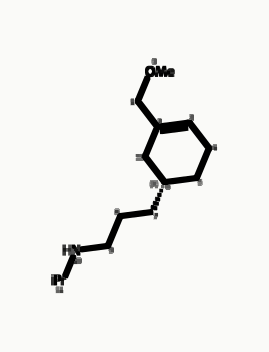 COCC1=CCC[C@H](CCCNC(C)C)C1